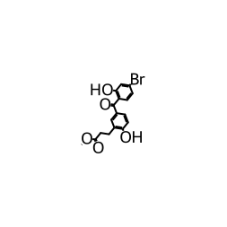 COC(=O)CCc1cc(C(=O)c2ccc(Br)cc2O)ccc1O